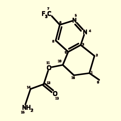 CC1Cc2nnc(C(F)(F)F)cc2C(OC(=O)CN)C1